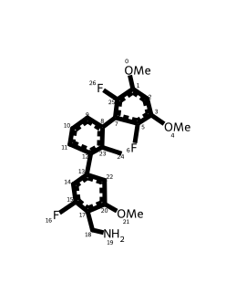 COc1cc(OC)c(F)c(-c2cccc(-c3cc(F)c(CN)c(OC)c3)c2C)c1F